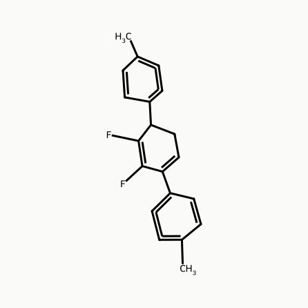 CC1=C=C=C(C2=CCC(C3=C=C=C(C)C=C3)C(F)=C2F)C=C1